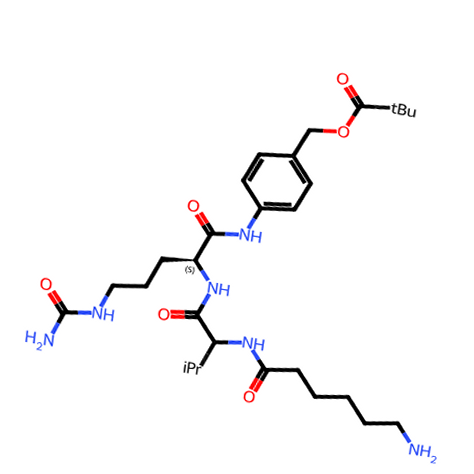 CC(C)C(NC(=O)CCCCCN)C(=O)N[C@@H](CCCNC(N)=O)C(=O)Nc1ccc(COC(=O)C(C)(C)C)cc1